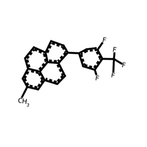 Cc1cc2ccc3ccc(-c4cc(F)c(C(F)(F)F)c(F)c4)c4ccc(c1)c2c34